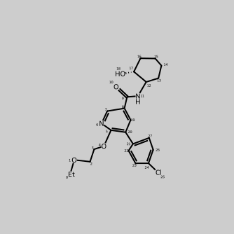 CCOCCOc1ncc(C(=O)NC2CCCC[C@H]2O)cc1-c1ccc(Cl)cc1